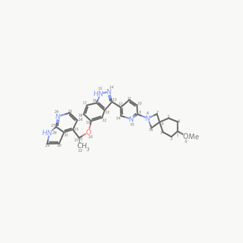 COC1CCC2(CC1)CN(c1ccc(-c3n[nH]c4ccc(O[C@H](C)c5ccnc6[nH]ccc56)cc34)cn1)C2